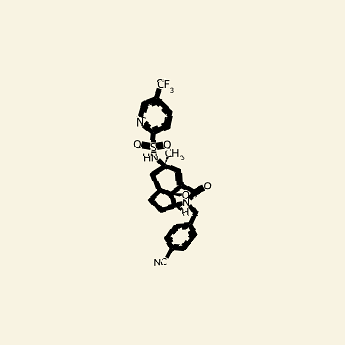 C[C@]1(NS(=O)(=O)c2ccc(C(F)(F)F)cn2)C=C2C(=O)N(Cc3ccc(C#N)cc3)[C@@H]3CCC(C1)[C@]23O